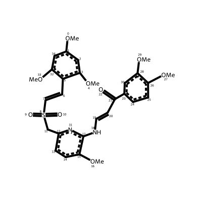 COc1cc(OC)c(C=CS(=O)(=O)Cc2ccc(OC)c(NC=CC(=O)c3ccc(OC)c(OC)c3)n2)c(OC)c1